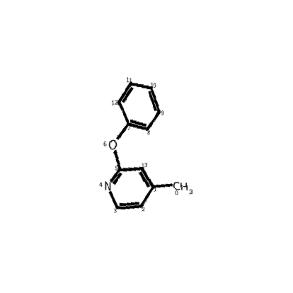 Cc1ccnc(Oc2ccccc2)c1